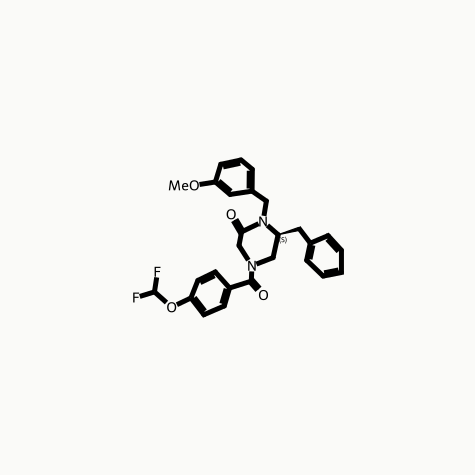 COc1cccc(CN2C(=O)CN(C(=O)c3ccc(OC(F)F)cc3)C[C@@H]2Cc2ccccc2)c1